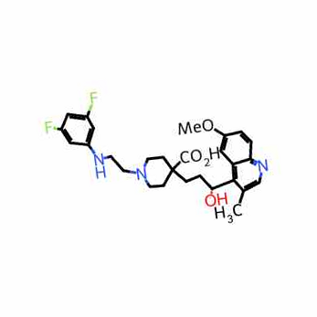 COc1ccc2ncc(C)c([C@H](O)CCC3(C(=O)O)CCN(CCNc4cc(F)cc(F)c4)CC3)c2c1